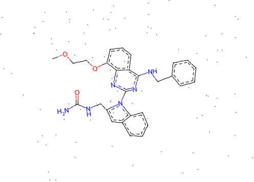 COCCOc1cccc2c(NCc3ccccc3)nc(-n3c(CNC(N)=O)cc4ccccc43)nc12